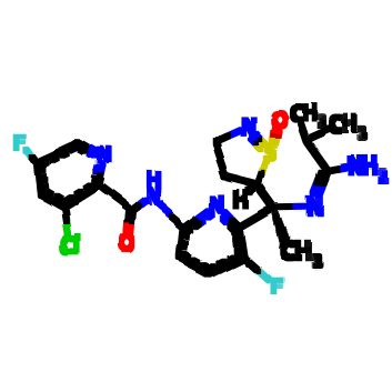 CC1(C)C(N)=N[C@](C)(c2nc(NC(=O)c3ncc(F)cc3Cl)ccc2F)[C@@H]2CCN=[S@]21=O